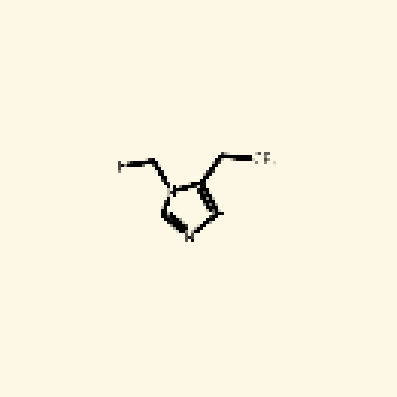 FCn1[c]n[c]c1CC(F)(F)F